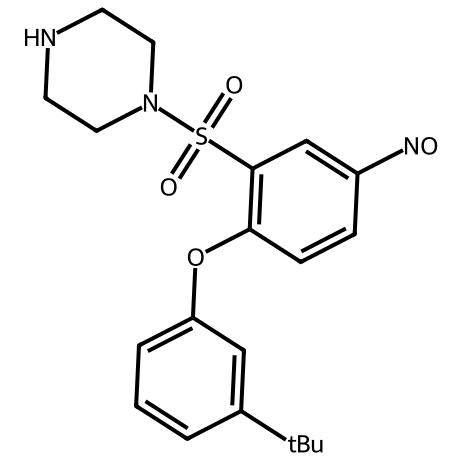 CC(C)(C)c1cccc(Oc2ccc(N=O)cc2S(=O)(=O)N2CCNCC2)c1